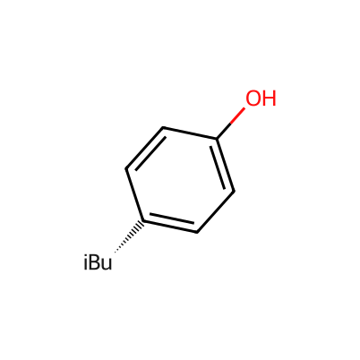 CC[C@@H](C)c1ccc(O)cc1